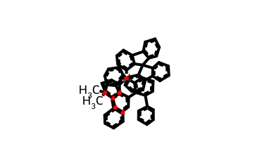 CC1(C)c2ccccc2-c2c(-c3c(-c4ccccc4)cccc3N(c3cccc(-c4ccccc4)c3)c3cccc4c3C3(c5ccccc5-c5ccccc53)c3ccccc3-4)cccc21